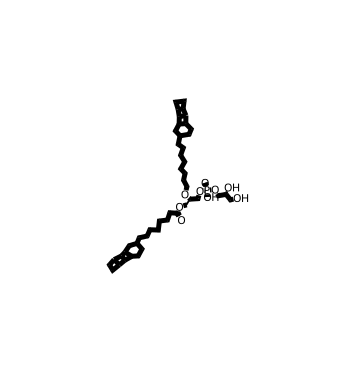 O=C(CCCCCCCC1CCC2C(C1)C1C3CCC3C21)OC[C@H](COP(=O)(O)OC[C@@H](O)CO)OCCCCCCCCC1CCC2C(C1)C1C3CCC3C21